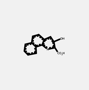 O=C(O)c1nc2c(ccc3ccccc32)cc1O